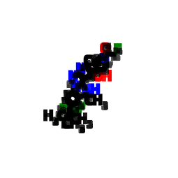 Cc1nc2ncnc(N[C@H](C)c3cccc(C(F)(F)C(C)(C)C)c3F)c2cc1C1(O)CCN(C(=O)CF)CC1